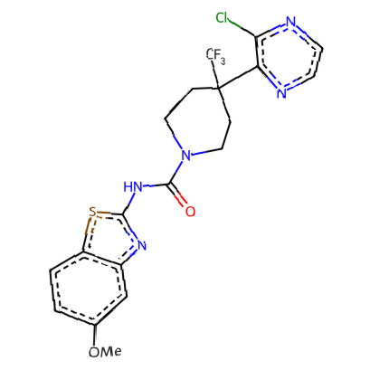 COc1ccc2sc(NC(=O)N3CCC(c4nccnc4Cl)(C(F)(F)F)CC3)nc2c1